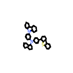 c1cc(N(c2ccc(-c3cccc4c3sc3ccccc34)cc2)c2cccc3ccccc23)cc(-n2c3ccccc3c3ccccc32)c1